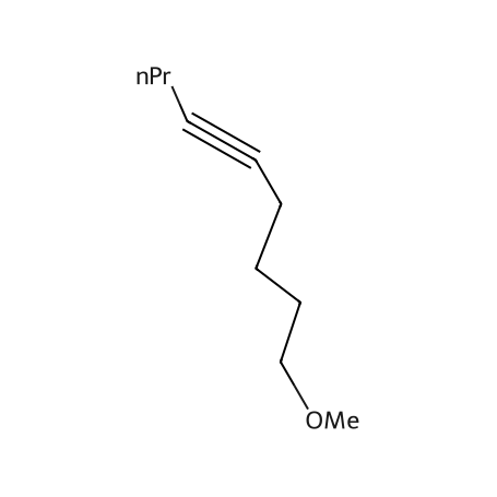 [CH2]CCC#CCCCCOC